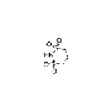 O=S1(=O)CCCS(=O)(=O)N1